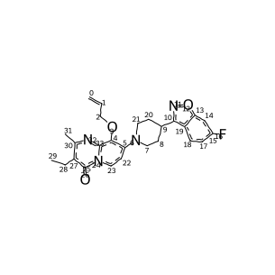 C=CCOc1c(N2CCC(c3noc4cc(F)ccc34)CC2)ccn2c(=O)c(CC)c(C)nc12